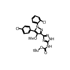 COc1c(-c2n[nH]c(NC(=O)OC(C)(C)C)n2)nn(-c2ccccc2Cl)c1-c1ccc(Cl)cc1